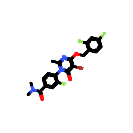 Cc1nc(OCc2ccc(F)cc2F)c(Br)c(=O)n1-c1ccc(C(=O)N(C)C)cc1F